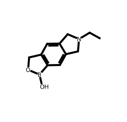 CCN1Cc2cc3c(cc2C1)B(O)OC3